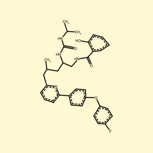 CC(Cc1cccc(-c2ccc(Oc3ccc(F)cc3)cc2)n1)CC(CNC(=O)c1ccccc1O)NC(=O)NC(C)C